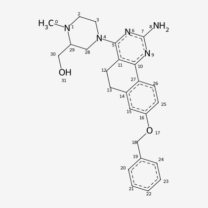 CN1CCN(c2nc(N)nc3c2CCc2cc(OCc4ccccc4)ccc2-3)CC1CO